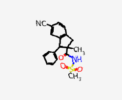 CC1(C(=O)NS(C)(=O)=O)Cc2ccc(C#N)cc2C1c1ccccc1